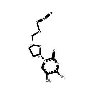 Cc1cn([C@H]2CC[C@@H](CON=[N+]=[N-])O2)c(=O)nc1N